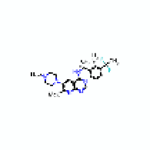 COc1nc2ncnc(N[C@H](C)c3cccc(C(C)(F)F)c3C)c2cc1N1CCN(C)CC1